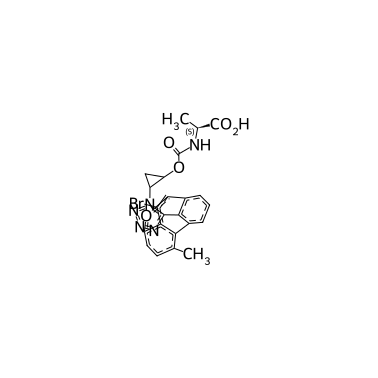 Cc1ccc2oc3c(Br)c2c1-c1cccc-3c1-c1nnnn1C1CC1OC(=O)N[C@@H](C)C(=O)O